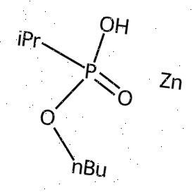 CCCCOP(=O)(O)C(C)C.[Zn]